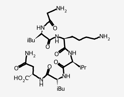 CC[C@H](C)[C@H](NC(=O)CN)C(=O)N[C@@H](CCCCN)C(=O)N[C@H](C(=O)N[C@H](C(=O)N[C@@H](CC(N)=O)C(=O)O)[C@@H](C)CC)C(C)C